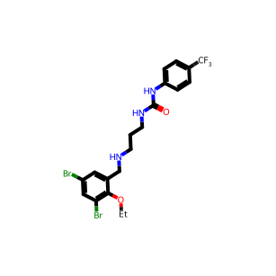 CCOc1c(Br)cc(Br)cc1CNCCCNC(=O)Nc1ccc(C(F)(F)F)cc1